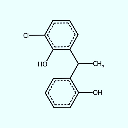 CC(c1ccccc1O)c1cccc(Cl)c1O